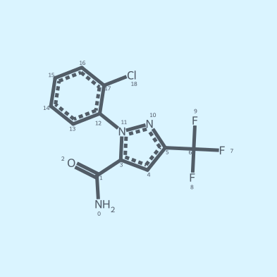 NC(=O)c1cc(C(F)(F)F)nn1-c1ccccc1Cl